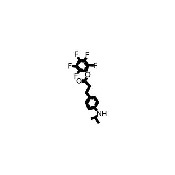 CC(C)Nc1ccc(CCC(=O)Oc2c(F)c(F)c(F)c(F)c2F)cc1